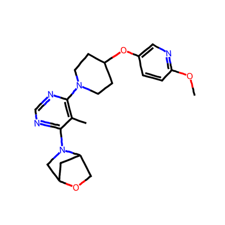 COc1ccc(OC2CCN(c3ncnc(N4CC5CC4CO5)c3C)CC2)cn1